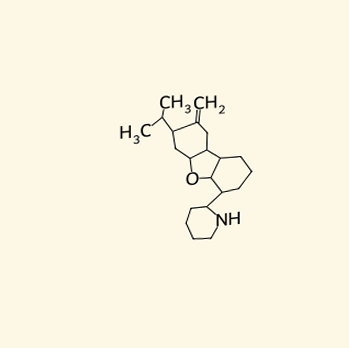 C=C1CC2C(CC1C(C)C)OC1C(C3CCCCN3)CCCC21